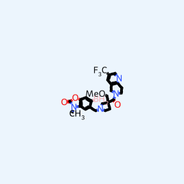 Bc1cc2oc(=O)n(C)c2cc1CN1CCC(COC)(C(=O)N2CCc3ncc(C(F)(F)F)cc3C2)C1